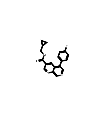 O=C(NCC1CC1)c1cnc2cncc(-c3ccc(Cl)cc3)c2c1